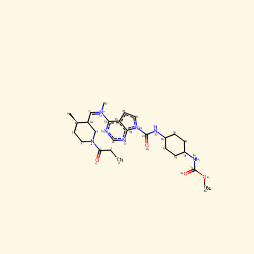 C[C@@H]1CCN(C(=O)CC#N)CC1/C=[N+](/C)c1ncnc2c1ccn2C(=O)NC1CCC(NC(=O)OC(C)(C)C)CC1